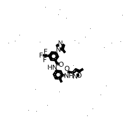 Cc1cc(C(=O)Nc2cc(NC(=O)c3cc(-n4cncc4C)cc(C(F)(F)F)c3)ccc2C)no1